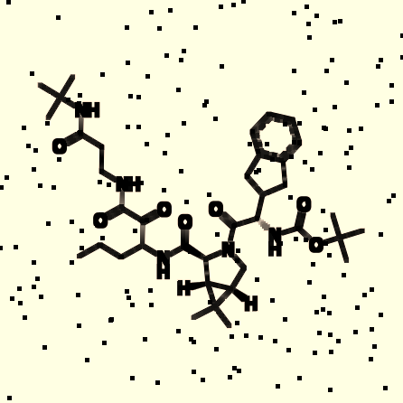 CCCC(NC(=O)[C@@H]1[C@@H]2[C@H](CN1C(=O)[C@@H](NC(=O)OC(C)(C)C)C1Cc3ccccc3C1)C2(C)C)C(=O)C(=O)NCCC(=O)NC(C)(C)C